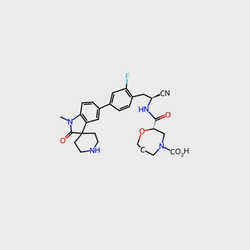 CN1C(=O)C2(CCNCC2)c2cc(-c3ccc(C[C@@H](C#N)NC(=O)[C@@H]4CN(C(=O)O)CCCO4)c(F)c3)ccc21